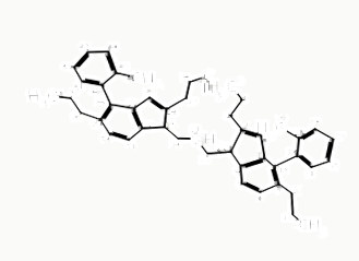 CCCC1=Cc2c(ccc(CCC)c2-c2ccccc2C)C1C[SiH2]CC1C(CCC)=Cc2c1ccc(CCC)c2-c1ccccc1C